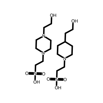 O=S(=O)(O)CCN1CCC(CCO)CC1.O=S(=O)(O)CCN1CCN(CCO)CC1